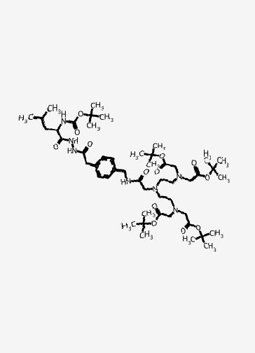 CC(C)C[C@@H](NC(=O)OC(C)(C)C)C(=O)NNC(=O)Cc1ccc(CNC(=O)CN(CCN(CC(=O)OC(C)(C)C)CC(=O)OC(C)(C)C)CCN(CC(=O)OC(C)(C)C)CC(=O)OC(C)(C)C)cc1